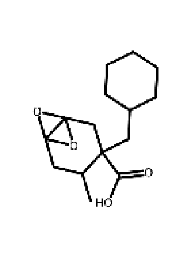 CC1CC23OC2(CC1(CC1CCCCC1)C(=O)O)O3